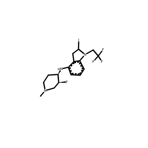 CN1CC[C@@H](Nc2cccc3c2CC(I)N3CC(F)(F)F)[C@@H](F)C1